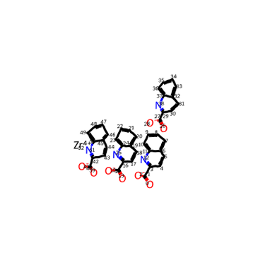 O=C([O-])c1ccc2ccccc2n1.O=C([O-])c1ccc2ccccc2n1.O=C([O-])c1ccc2ccccc2n1.O=C([O-])c1ccc2ccccc2n1.[Zr+4]